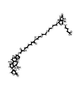 C[C@]12CC[C@H](OCC(=O)NCCCCCC(=O)NCCOCCOCCOCCO[C@@H]3S[C@@H](CCCCC(=O)O)[C@H]4NC(=O)N[C@H]43)C[C@H]1CCC1[C@@H]2C[C@@H](O)[C@]2(C)[C@@H](C3=CC(=O)OC3)CC[C@]12O